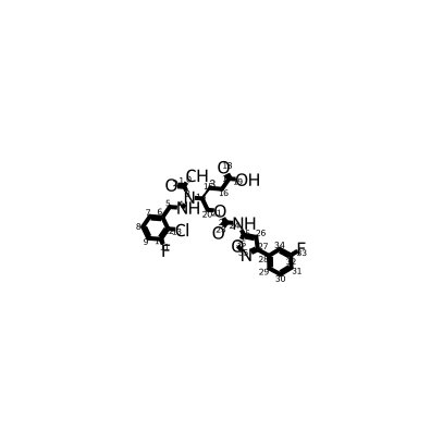 CC(=O)N(NCc1cccc(F)c1Cl)[C@@H](CCC(=O)O)COC(=O)Nc1cc(-c2cccc(F)c2)no1